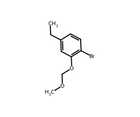 CCc1ccc(Br)c(OCOC)c1